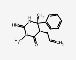 C=CC[C@H]1C(=O)N(C)C(=N)N[C@]1(C)c1ccccc1